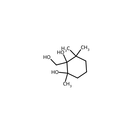 CC1(C)CCCC(C)(O)C1(O)CO